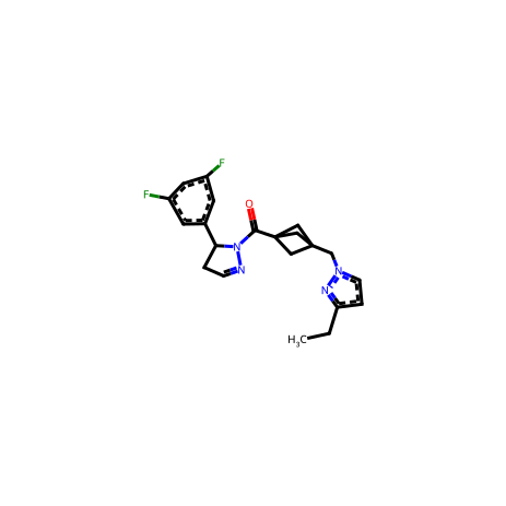 CCc1ccn(CC23CC(C(=O)N4N=CCC4c4cc(F)cc(F)c4)(C2)C3)n1